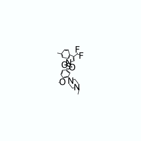 CCN1CCN(c2cc(S(=O)(=O)n3cc(C(F)F)c4ccc(C)cc43)ccc2OC)CC1